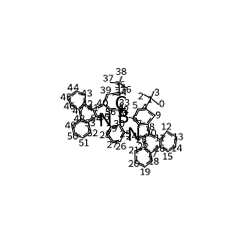 CC(C)(C)c1cc2c3c(c1)c1c4ccccc4c4ccccc4c1n3-c1cccc3c1B2c1cc(C(C)(C)C)cc2c4c5ccccc5c5ccccc5c4n-3c12